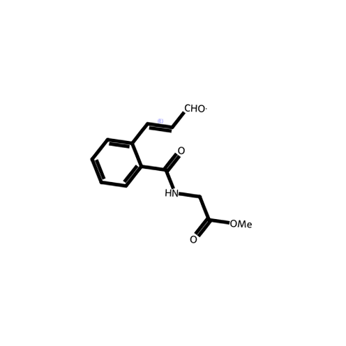 COC(=O)CNC(=O)c1ccccc1/C=C/[C]=O